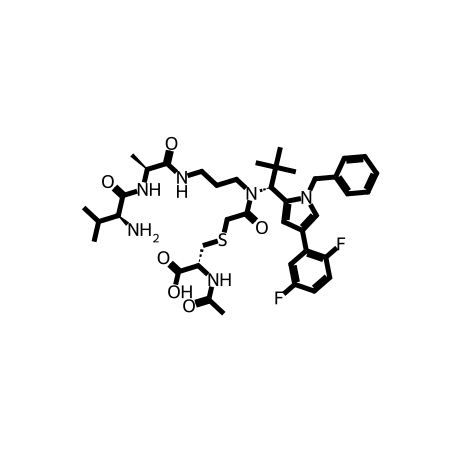 CC(=O)N[C@@H](CSCC(=O)N(CCCNC(=O)[C@H](C)NC(=O)[C@@H](N)C(C)C)[C@@H](c1cc(-c2cc(F)ccc2F)cn1Cc1ccccc1)C(C)(C)C)C(=O)O